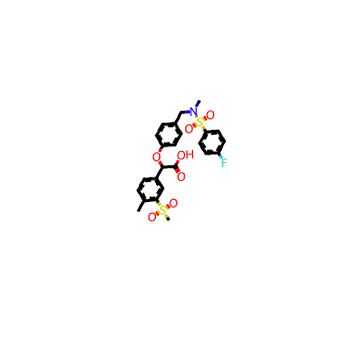 Cc1ccc(C(Oc2ccc(CN(C)S(=O)(=O)c3ccc(F)cc3)cc2)C(=O)O)cc1S(C)(=O)=O